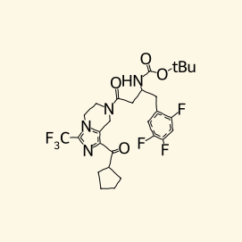 CC(C)(C)OC(=O)NC(CC(=O)N1CCn2c(C(F)(F)F)nc(C(=O)C3CCCC3)c2C1)Cc1cc(F)c(F)cc1F